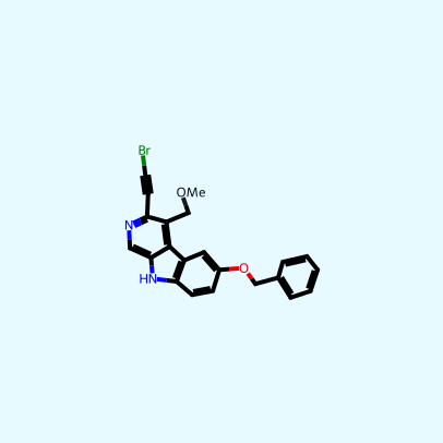 COCc1c(C#CBr)ncc2[nH]c3ccc(OCc4ccccc4)cc3c12